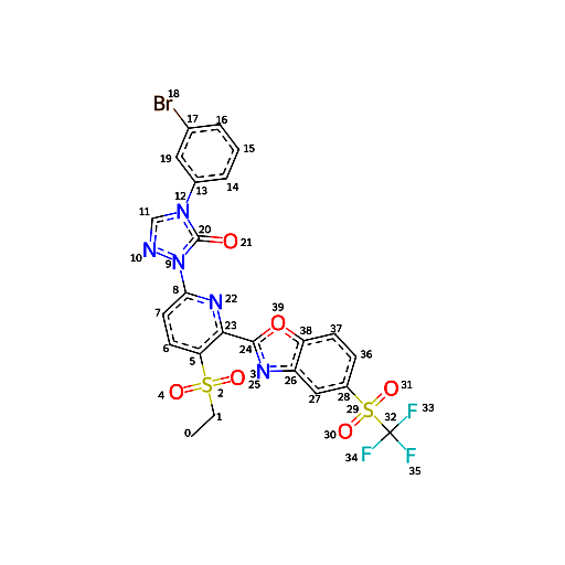 CCS(=O)(=O)c1ccc(-n2ncn(-c3cccc(Br)c3)c2=O)nc1-c1nc2cc(S(=O)(=O)C(F)(F)F)ccc2o1